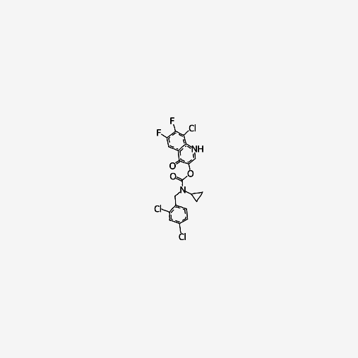 O=C(Oc1c[nH]c2c(Cl)c(F)c(F)cc2c1=O)N(Cc1ccc(Cl)cc1Cl)C1CC1